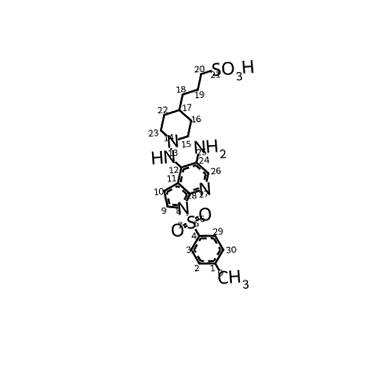 Cc1ccc(S(=O)(=O)n2ccc3c(NN4CCC(CCCS(=O)(=O)O)CC4)c(N)cnc32)cc1